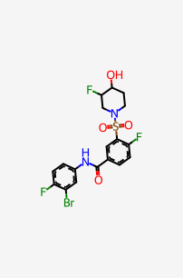 O=C(Nc1ccc(F)c(Br)c1)c1ccc(F)c(S(=O)(=O)N2CCC(O)C(F)C2)c1